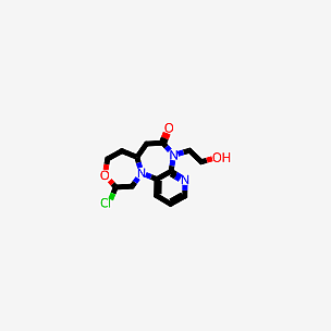 O=C1CC2CCOC(Cl)CN2c2cccnc2N1CCO